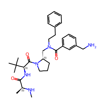 CN[C@@H](C)C(=O)N[C@H](C(=O)N1CCC[C@H]1CN(CCc1ccccc1)C(=O)c1cccc(CN)c1)C(C)(C)C